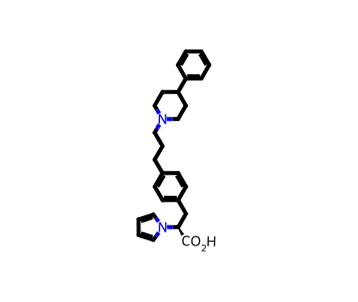 O=C(O)[C@H](Cc1ccc(CCCN2CCC(c3ccccc3)CC2)cc1)n1cccc1